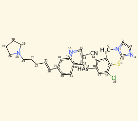 Cn1ccnc1Sc1ccc([AsH]c2c(C#N)cnc3cc(C=CCCCN4CCCC4)ccc23)cc1Cl